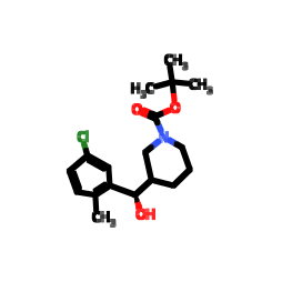 Cc1ccc(Cl)cc1[C@H](O)C1CCCN(C(=O)OC(C)(C)C)C1